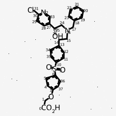 O=C(O)COc1ccc(S(=O)(=O)c2ccc(CCN(Cc3ccccc3)C[C@H](O)c3ccc(Cl)nc3)cc2)cc1